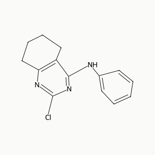 Clc1nc2c(c(Nc3ccccc3)n1)CCCC2